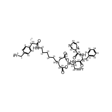 CC(C)Cc1ccc([C@H](C)C(=O)NCCCCCCN2CC(=O)OB([C@H](CC(C)C)NC(=O)[C@H](Cc3ccccc3)NC(=O)c3cnccn3)OC(=O)C2)cc1